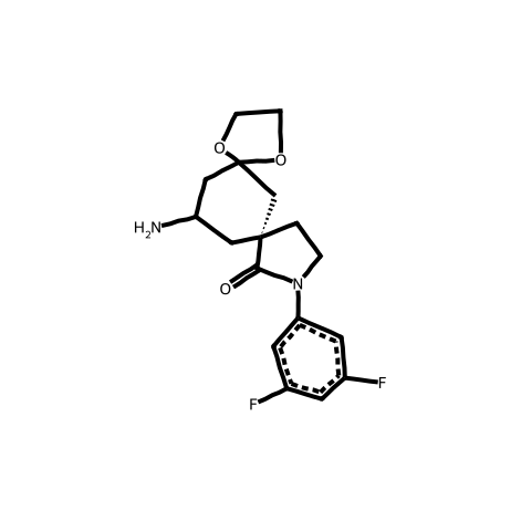 NC1CC2(C[C@@]3(CCN(c4cc(F)cc(F)c4)C3=O)C1)OCCO2